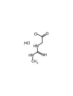 CNC(=N)NCC(=O)Cl.Cl